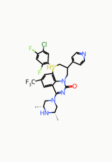 C[C@@H]1CN(c2nc(=O)n3c4c(cc(C(F)(F)F)cc24)[SH](c2cc(Cl)c(F)cc2F)CC(c2ccncc2)C3)C[C@H](C)N1